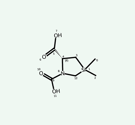 C[Si]1(C)C[C@@H](C(=O)O)N(C(=O)O)C1